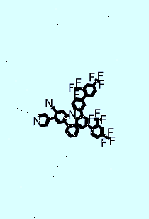 N#Cc1cc(-n2c3ccc(-c4ccc(C(F)(F)F)cc4C(F)(F)F)cc3c3cc(-c4ccc(C(F)(F)F)cc4C(F)(F)F)ccc32)c(-c2ccccc2)cc1-c1ccncc1